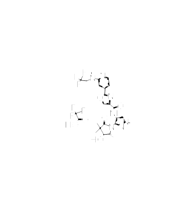 C[C@H]1C(O)C(C)(C)C(=O)N1c1nn(C)cc1NC(=O)c1coc(-c2ccnc(N(C)CC(F)(F)F)c2)n1.O=C(O)C(F)(F)F